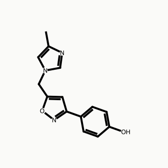 Cc1cn(Cc2cc(-c3ccc(O)cc3)no2)cn1